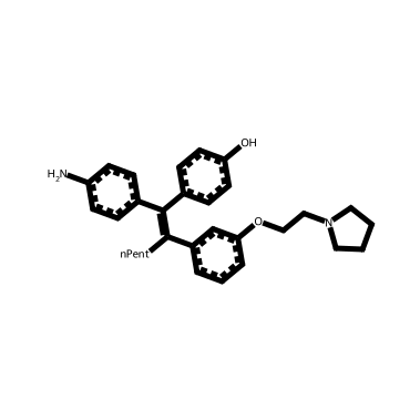 CCCCC/C(=C(\c1ccc(N)cc1)c1ccc(O)cc1)c1cccc(OCCN2CCCC2)c1